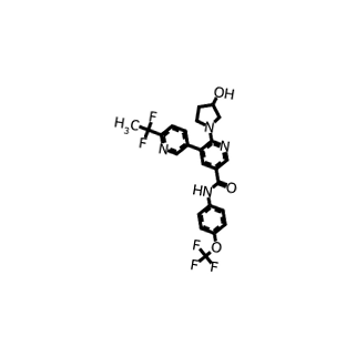 CC(F)(F)c1ccc(-c2cc(C(=O)Nc3ccc(OC(F)(F)F)cc3)cnc2N2CCC(O)C2)cn1